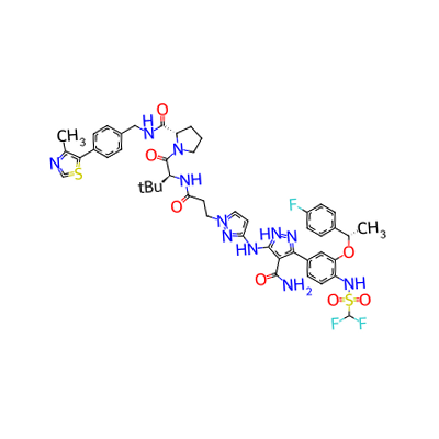 Cc1ncsc1-c1ccc(CNC(=O)[C@@H]2CCCN2C(=O)[C@@H](NC(=O)CCn2ccc(Nc3[nH]nc(-c4ccc(NS(=O)(=O)C(F)F)c(O[C@@H](C)c5ccc(F)cc5)c4)c3C(N)=O)n2)C(C)(C)C)cc1